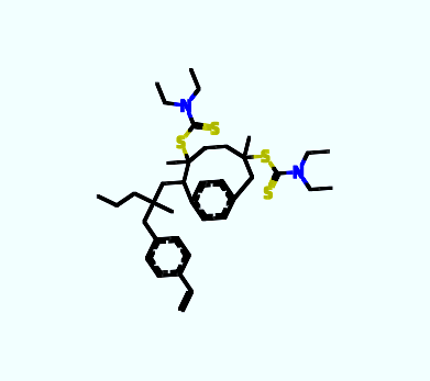 C=Cc1ccc(CC(C)(CCC)CC2c3ccc(cc3)CC(C)(SC(=S)N(CC)CC)CCC2(C)SC(=S)N(CC)CC)cc1